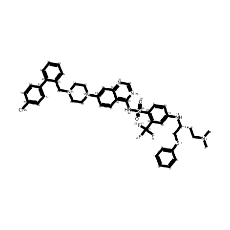 CN(C)CC[C@H](CSc1ccccc1)Nc1ccc(S(=O)(=O)Nc2ncnc3cc(N4CCN(Cc5ccccc5-c5ccc(Cl)cc5)CC4)ccc23)c(C(F)(F)F)c1